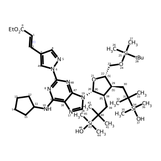 CCOC(=O)/C=C/c1cnn(-c2nc(NC3CCCC3)c3ncn([C@@H]4O[C@H](CO[Si](C)(C)C(C)(C)C)[C@@H](CC(C)(C)[Si](C)(C)O)[C@H]4CC(C)(C)[Si](C)(C)O)c3n2)c1